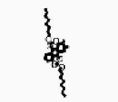 CCCCCCCCOC(=O)Oc1c2ccccc2c(OC(=O)OCCCCCCCC)c2cc(C)c(C)cc12